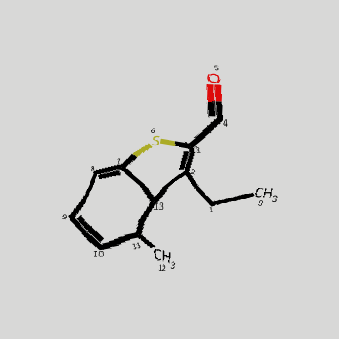 CCC1=C(C=O)SC2=CC=CC(C)C21